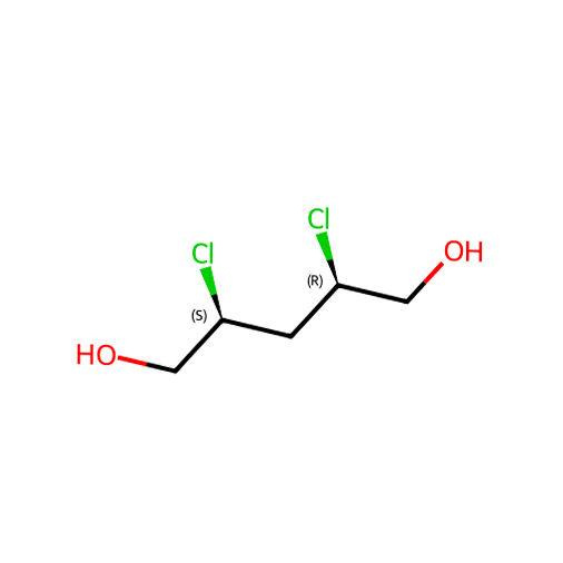 OC[C@@H](Cl)C[C@@H](Cl)CO